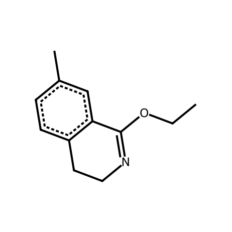 CCOC1=NCCc2ccc(C)cc21